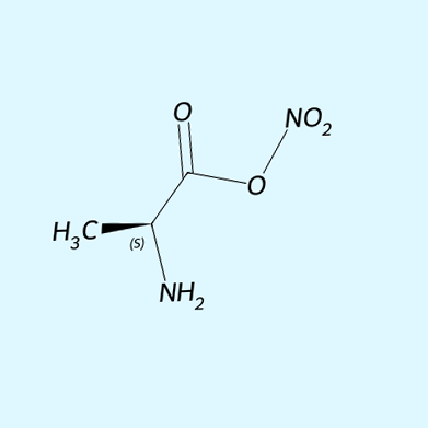 C[C@H](N)C(=O)O[N+](=O)[O-]